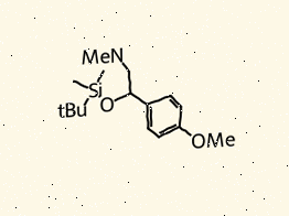 CNCC(O[Si](C)(C)C(C)(C)C)c1ccc(OC)cc1